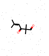 CC(C)=CC(=O)C(C)(C)[C]=O